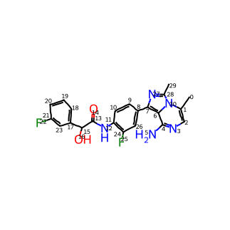 Cc1cnc(N)c2c(-c3ccc(NC(=O)C(O)c4cccc(F)c4)c(F)c3)nc(C)n12